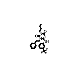 CCCCn1c(=O)nc(Nc2cccc(C(F)(F)F)c2)n(CCc2ccccc2)c1=O